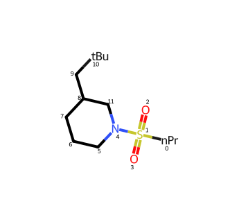 CCCS(=O)(=O)N1CCCC(CC(C)(C)C)C1